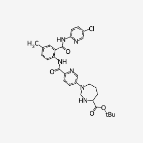 Cc1ccc(NC(=O)c2ccc(N3CCCC(C(=O)OC(C)(C)C)NC3)cn2)c(C(=O)Nc2ccc(Cl)cn2)c1